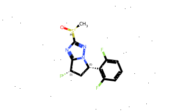 C[S@+]([O-])c1nc2n(n1)[C@H](c1c(F)cccc1F)C[C@@H]2F